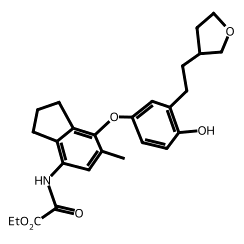 CCOC(=O)C(=O)Nc1cc(C)c(Oc2ccc(O)c(CCC3CCOC3)c2)c2c1CCC2